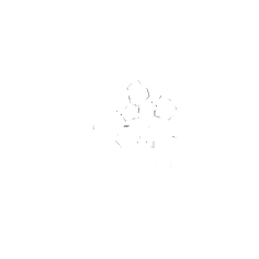 CCNC1(C2(c3c(C)n(CC)c4ccccc34)OC(=O)c3cccnc32)C=CC(C2CCCCC2)=CC1OC